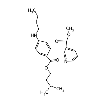 CCCCNc1ccc(C(=O)OCCN(C)C)cc1.COC(=O)c1cccnc1